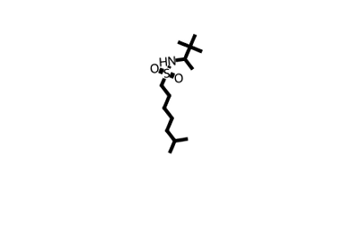 CC(C)CCCCCS(=O)(=O)NC(C)C(C)(C)C